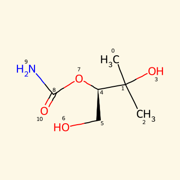 CC(C)(O)[C@@H](CO)OC(N)=O